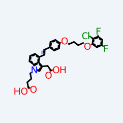 O=C(O)CCCn1cc(CC(=O)O)c2c(/C=C/c3ccc(OCCCCOc4cc(F)cc(F)c4Cl)cc3)cccc21